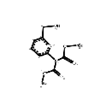 CCCCOC(=O)N(C(=O)OCCCC)c1cccc(CO)n1